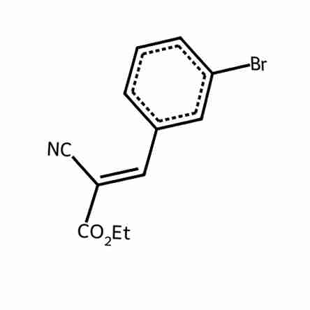 CCOC(=O)C(C#N)=Cc1cccc(Br)c1